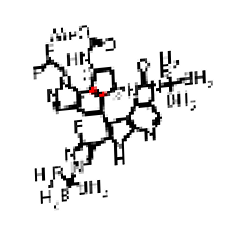 BC(B)(B)n1cc(-c2[nH]c3ncc4c(c3c2-c2ccc3c(cnn3CC(F)F)c2)n([C@@H]2CC[C@@H](NC(=O)OC)C2)c(=O)n4C(B)(B)B)c(F)n1